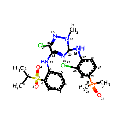 CC(C)S(=O)(=O)c1ccccc1NC1=NC(Nc2ccc(P(C)(C)=O)cc2Cl)N(C)N=C1Cl